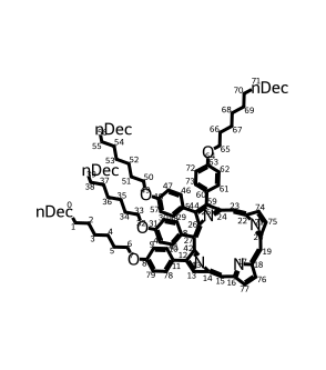 CCCCCCCCCCCCCCCCOc1ccc(C2=CC3=CC4=NC(=CC5=NC(=CC6=NC(=C(c7ccc(OCCCCCCCCCCCCCCCC)cc7)C2=N3)C(c2ccc(OCCCCCCCCCCCCCCCC)cc2)=C6c2ccc(OCCCCCCCCCCCCCCCC)cc2)C=C5)C=C4)cc1